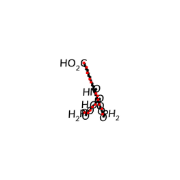 O=C(O)CCCCCCCCCCCCCCCCC(=O)NCCCCC(=O)N(CCOCCOCCC(=O)P)CCOCCOCCC(=O)PP